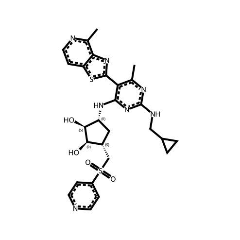 Cc1nc(NCC2CC2)nc(N[C@@H]2C[C@H](CS(=O)(=O)c3ccncc3)[C@@H](O)[C@H]2O)c1-c1nc2c(C)nccc2s1